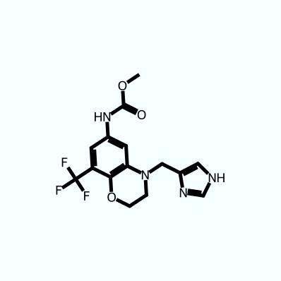 COC(=O)Nc1cc2c(c(C(F)(F)F)c1)OCCN2Cc1c[nH]cn1